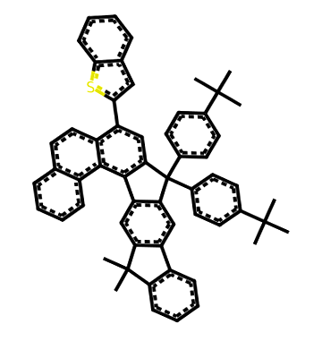 CC(C)(C)c1ccc(C2(c3ccc(C(C)(C)C)cc3)c3cc4c(cc3-c3c2cc(-c2cc5ccccc5s2)c2ccc5ccccc5c32)C(C)(C)c2ccccc2-4)cc1